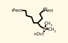 CCCCCCCC[N+](C)(C)CC(CCCCC(C)CCC)CCC(C)CCC.[Cl-]